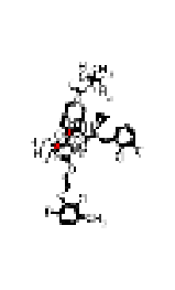 Cc1ccc(F)c(OCCOc2ncc(C3=C(C(=O)N(Cc4cccc(Cl)c4Cl)C4CC4)[C@H]4CN(C(=O)OC(C)(C)C)CC(C3)N4C(=O)OC(C)(C)C)s2)c1Cl